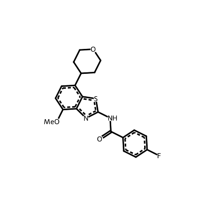 COc1ccc(C2CCOCC2)c2sc(NC(=O)c3ccc(F)cc3)nc12